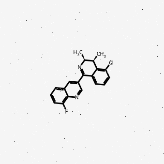 C[C@@H]1N=C(c2cnc3c(F)cccc3c2)c2cccc(Cl)c2[C@@H]1C